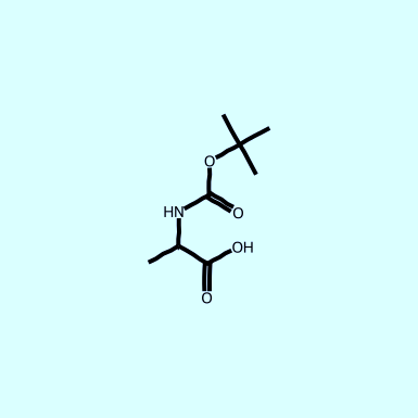 C[C](NC(=O)OC(C)(C)C)C(=O)O